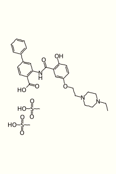 CCN1CCN(CCOc2ccc(O)c(C(=O)Nc3cc(-c4ccccc4)ccc3C(=O)O)c2)CC1.CS(=O)(=O)O.CS(=O)(=O)O